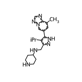 Cc1cc(-c2[nH]nc(CNC3CCNCC3)c2C(C)C)cn2ncnc12